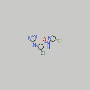 CN(c1cncnc1)c1cc(Cl)cc(C(=O)Nc2cc(Cl)ccn2)c1